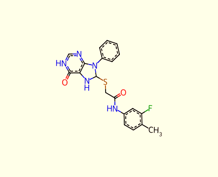 Cc1ccc(NC(=O)CSC2Nc3c(nc[nH]c3=O)N2c2ccccc2)cc1F